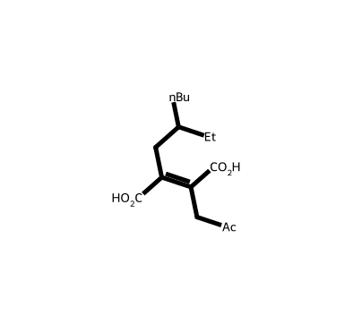 CCCCC(CC)C/C(C(=O)O)=C(/CC(C)=O)C(=O)O